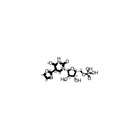 O=c1[nH]c(=O)n([C@@H]2O[C@H](COP(=O)(O)O)[C@H](O)[C@H]2O)cc1-c1ncco1